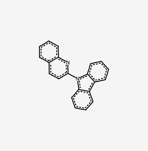 c1ccc2nc(-n3c4ccccc4c4ccccc43)ccc2c1